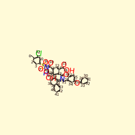 Cc1ccc(S(=O)(=O)NC(=O)c2cc(C(=O)O)c(C(=O)N(Cc3cccc(Oc4ccccc4)c3)[C@H]3CCCc4ccccc43)cc2C(=O)O)cc1Cl